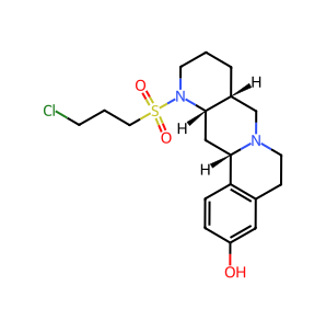 O=S(=O)(CCCCl)N1CCC[C@@H]2CN3CCc4cc(O)ccc4[C@@H]3C[C@@H]21